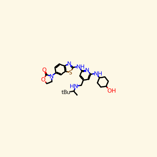 CC(NCc1cc(Nc2nc3ccc(N4CCOC4=O)cc3s2)nc(NC2CCC(O)CC2)c1)C(C)(C)C